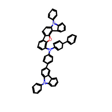 C1=CC(c2ccccc2)CC=C1N(c1ccc(-c2ccc3c(c2)c2ccccc2n3-c2ccccc2)cc1)c1cccc2c1oc1c2ccc2c1c1ccccc1n2-c1ccccc1